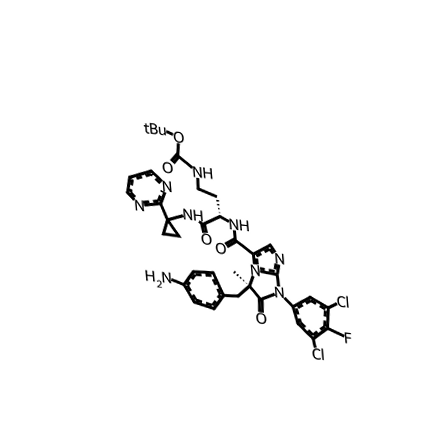 CC(C)(C)OC(=O)NCC[C@H](NC(=O)c1cnc2n1[C@](C)(Cc1ccc(N)cc1)C(=O)N2c1cc(Cl)c(F)c(Cl)c1)C(=O)NC1(c2ncccn2)CC1